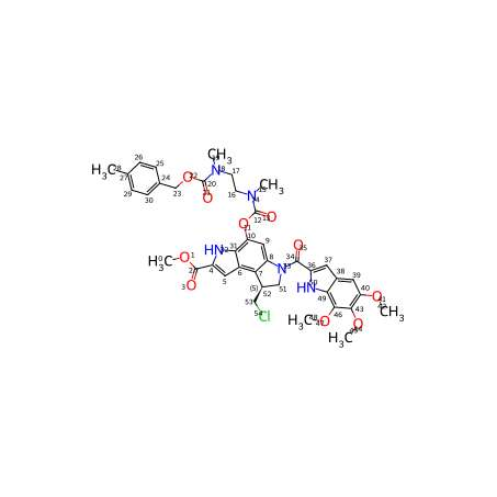 COC(=O)c1cc2c3c(cc(OC(=O)N(C)CCN(C)C(=O)OCc4ccc(C)cc4)c2[nH]1)N(C(=O)c1cc2cc(OC)c(OC)c(OC)c2[nH]1)C[C@H]3CCl